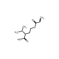 C=CC(=O)OCCC(C(=O)O)N(C)C